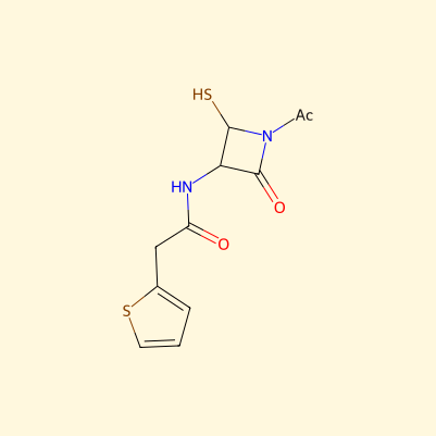 CC(=O)N1C(=O)C(NC(=O)Cc2cccs2)C1S